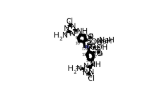 Nc1nc(Cl)nc(Nc2ccc(/C=C/c3ccc(Nc4nc(N)nc(Cl)n4)cc3S(=O)(=O)O)c(S(=O)(=O)O)c2)n1.[NaH].[NaH]